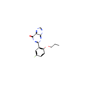 CCCOc1ccc(F)cc1C1=NC(=O)C2=NC=NC2=N1